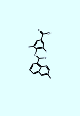 O=C(O)c1cc(I)c(OC(Br)c2cccc3cc(F)ccc23)c(I)c1